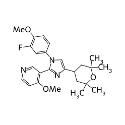 COc1ccc(-n2cc(C3CC(C)(C)OC(C)(C)C3)nc2-c2cnccc2OC)cc1F